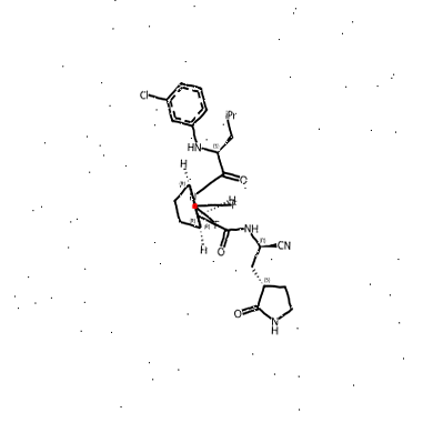 CC(C)C[C@H](Nc1cccc(Cl)c1)C(=O)N1[C@@H]2CC[C@H]([C@@H]1C(=O)N[C@@H](C#N)C[C@@H]1CCNC1=O)C(F)(F)C2